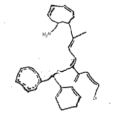 C=C(/C=C\CC)/C(=C/C=C(\C)C1C=CC=CC1N)CC(C1=CCCC=C1)c1ccccc1